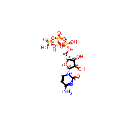 Nc1ccn([C@@H]2O[C@H](COP(=O)(O)OP(=O)(O)OP(=O)(O)O)C(O)C2O)c(=O)n1